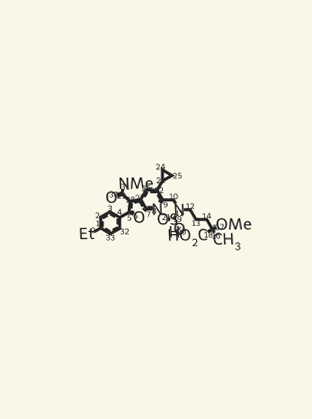 CCc1ccc(-c2oc3nc(CN(CCCC(C)(OC)C(=O)O)[SH](=O)=O)c(C4CC4)cc3c2C(=O)NC)cc1